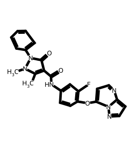 Cc1c(C(=O)Nc2ccc(Oc3ccnc4ccnn34)c(F)c2)c(=O)n(-c2ccccc2)n1C